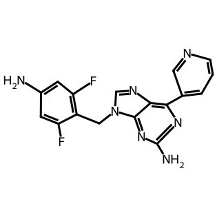 Nc1cc(F)c(Cn2cnc3c(-c4cccnc4)nc(N)nc32)c(F)c1